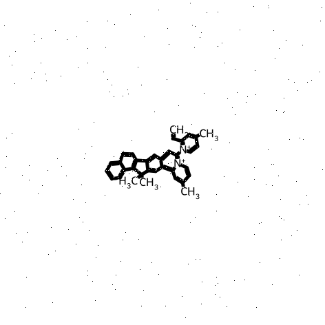 C=Cc1cc(C)cc[n+]1-c1cc2cc3c(cc2c2cc(C)cc[n+]12)C(C)(C)c1c-3ccc2ccccc12